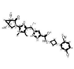 Cc1c([C@H](C)n2cc(C(=O)N[C@H]3C[C@@H](c4cc(Cl)ccc4C#N)C3)nn2)nc(N2C[C@H]3C[C@H]3C2=O)n1C